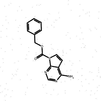 Nc1ncnc2c1ccn2C(=O)OCc1ccccc1